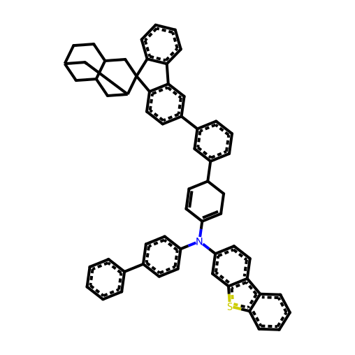 C1=CC(c2cccc(-c3ccc4c(c3)-c3ccccc3C43CC4CCC5CC4CC3C5)c2)CC=C1N(c1ccc(-c2ccccc2)cc1)c1ccc2c(c1)sc1ccccc12